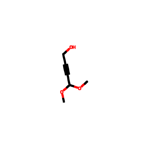 COC(C#CCO)OC